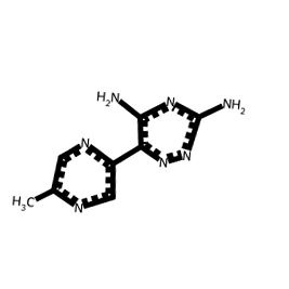 Cc1cnc(-c2nnc(N)nc2N)cn1